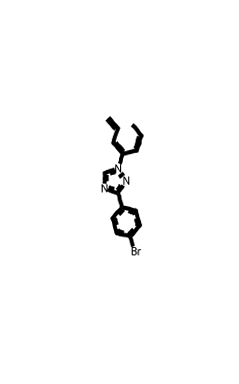 C=C/C=C(\C=C/C)n1cnc(-c2ccc(Br)cc2)n1